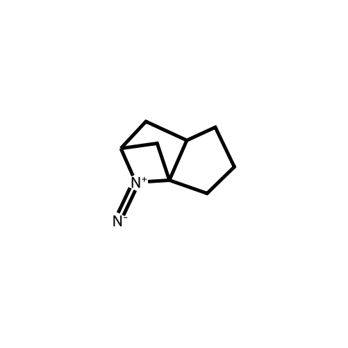 [N-]=[N+]1C2CC3CCCC31C2